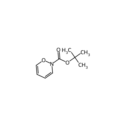 CC(C)(C)OC(=O)N1C=CC=CO1